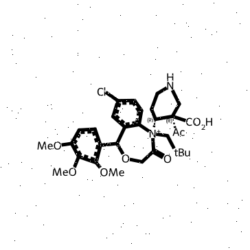 COc1ccc(C2OCC(=O)[N+](CC(C)(C)C)([C@@H]3CCNC[C@@]3(C(C)=O)C(=O)O)c3ccc(Cl)cc32)c(OC)c1OC